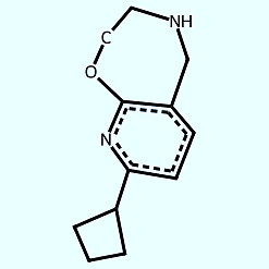 c1cc2c(nc1C1CCC1)OCCNC2